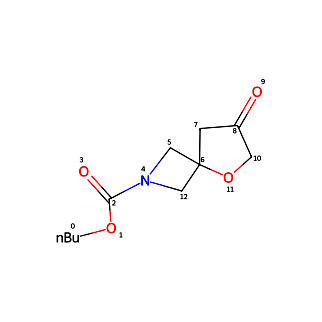 CCCCOC(=O)N1CC2(CC(=O)CO2)C1